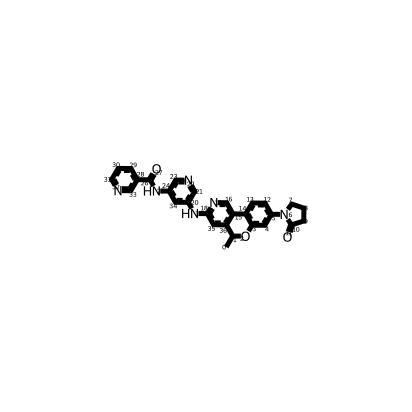 CC1Oc2cc(N3CCCC3=O)ccc2-c2cnc(Nc3cncc(NC(=O)c4cccnc4)c3)cc21